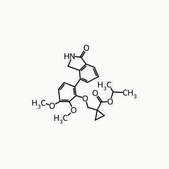 COc1ccc(-c2cccc3c2CNC3=O)c(OCC2(C(=O)OC(C)C)CC2)c1OC